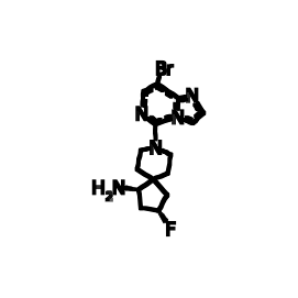 N[C@@H]1C[C@H](F)CC12CCN(c1ncc(Br)c3nccn13)CC2